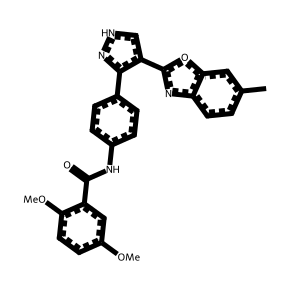 COc1ccc(OC)c(C(=O)Nc2ccc(-c3n[nH]cc3-c3nc4ccc(C)cc4o3)cc2)c1